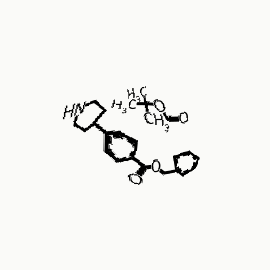 CC(C)(C)OC=O.O=C(OCc1ccccc1)c1ccc(C2CCNCC2)cc1